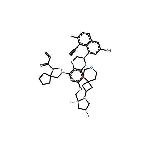 C#Cc1c(F)ccc2cc(O)cc(C3COc4c(NCC5(N(C)C(=O)C=C)CCCC5)nc(OC[C@]5(C)C[C@@H](F)CN5C5CC6(CCOCC6)C5)nc4O3)c12